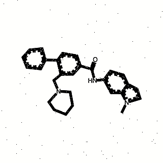 Cn1ccc2ccc(NC(=O)c3ccc(-c4ccccc4)c(CN4CCCCC4)c3)cc21